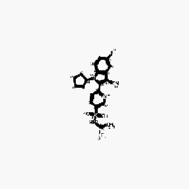 C[C@@H](NS(=O)(=O)c1ccc(-c2c(C#N)c3cc(F)ccc3n2C2CCCC2)nc1)C(F)(F)F